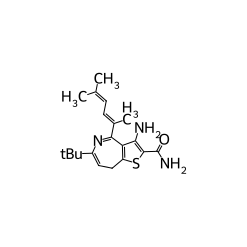 CC(C)=C/C=C(\C)C1=NC(C(C)(C)C)=CCc2sc(C(N)=O)c(N)c21